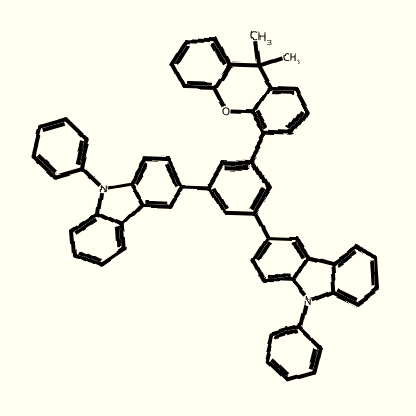 CC1(C)c2ccccc2Oc2c(-c3cc(-c4ccc5c(c4)c4ccccc4n5-c4ccccc4)cc(-c4ccc5c(c4)c4ccccc4n5-c4ccccc4)c3)cccc21